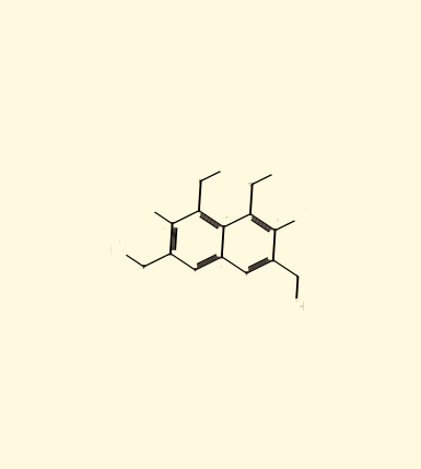 OCc1cc2cc(CO)c(O)c(CO)c2c(CO)c1O